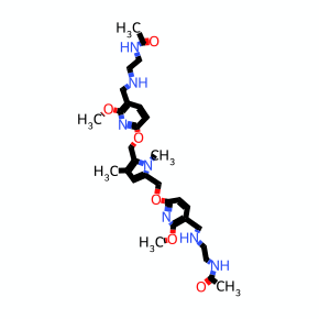 COc1nc(OCc2cc(C)c(COc3ccc(CNCCNC(C)=O)c(OC)n3)n2C)ccc1CNCCNC(C)=O